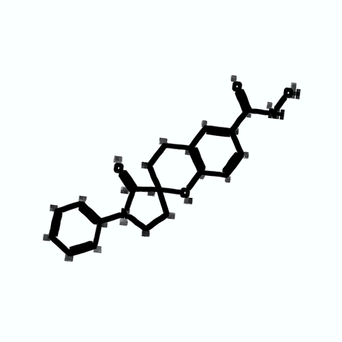 O=C(NO)c1ccc2c(c1)CCC1(CCN(c3ccccc3)C1=O)O2